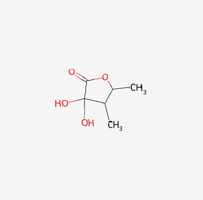 CC1OC(=O)C(O)(O)C1C